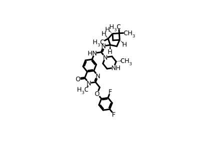 C[C@@H]1[C@@H](/N=C(/Nc2ccc3c(=O)n(C)c(COc4ccc(F)cc4F)nc3c2)N2CCN[C@@H](C)C2)C[C@H]2C[C@@H]1C2(C)C